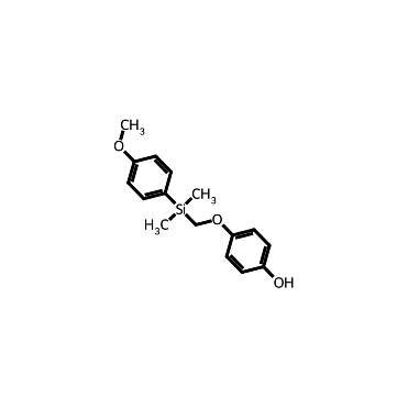 COc1ccc([Si](C)(C)COc2ccc(O)cc2)cc1